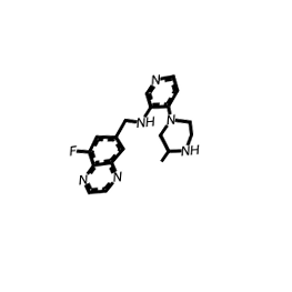 CC1CN(c2ccncc2NCc2cc(F)c3nccnc3c2)CCN1